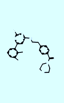 Cc1c(Cl)cccc1-c1cc(NCCc2ccc(C(=O)N3CCOCC3)cc2)nc(N)n1